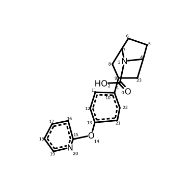 O=C(O)N1C2CCC1CC(c1ccc(Oc3ccccn3)cc1)C2